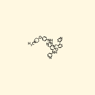 CN1CCC(Oc2ccc(Nc3ncc4cc(Nc5cccnc5)c(=O)n(Cc5ccsc5-c5cncs5)c4n3)cc2)CC1